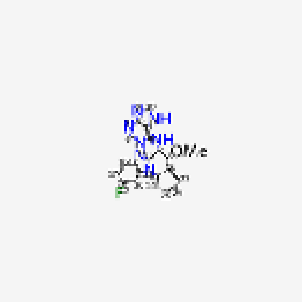 COCC(Nc1ncnc2nc[nH]c12)c1nc2ccc(F)cc2n1-c1ccccc1